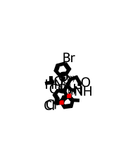 Cc1ccc(Cl)cc1[C@@H]1NC(=O)C[C@H](c2cc(Br)ccc2OC(C)(C)C(=O)O)[C@@]12C(=O)Nc1cc(Cl)ccc12